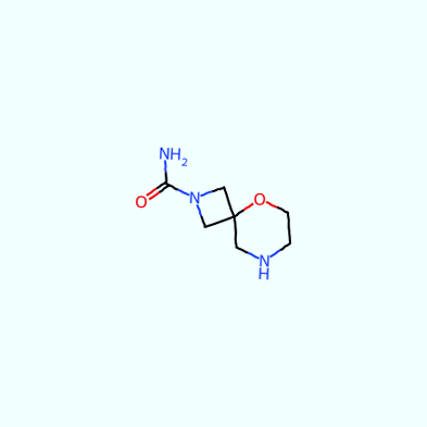 NC(=O)N1CC2(CNCCO2)C1